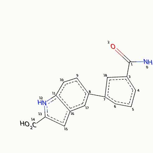 NC(=O)c1cccc(-c2ccc3[nH]c(C(=O)O)cc3c2)c1